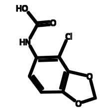 O=C(O)Nc1ccc2c(c1Cl)OCO2